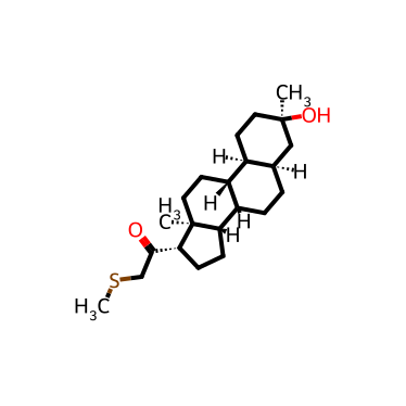 CSCC(=O)[C@H]1CC[C@H]2[C@@H]3CC[C@@H]4C[C@](C)(O)CC[C@@H]4[C@H]3CC[C@]12C